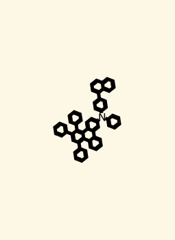 c1ccc(-c2cc(-c3ccccc3)c3c4ccccc4c4cc(N(c5ccccc5)c5ccc(-c6cccc7ccccc67)cc5)ccc4c3c2-c2ccccc2)cc1